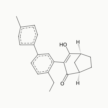 CCc1ccc(-c2ccc(C)cc2)cc1C1=C(O)[C@H]2CC[C@H](C2)C1=O